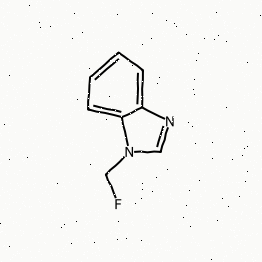 FCn1cnc2ccccc21